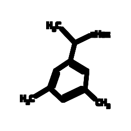 CCCCCCC(C)c1cc(C)cc(C)c1